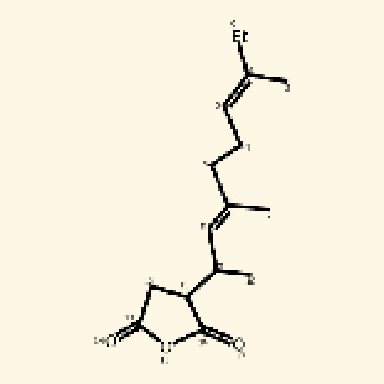 CC/C(C)=C/CC/C(C)=C/C(C)C1CC(=O)OC1=O